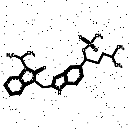 CC(C)CCC(OS(C)(=O)=O)c1ccc2[nH]c(Cn3c(=O)n(C(C)C)c4ccccc43)nc2c1